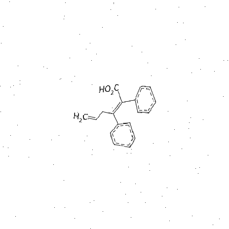 C=CCC(=C(C(=O)O)c1ccccc1)c1ccccc1